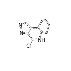 Clc1[nH]c2ccccc2c2cnnc1-2